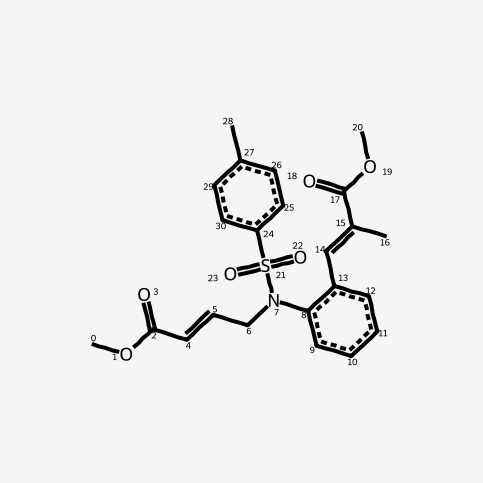 COC(=O)/C=C/CN(c1ccccc1/C=C(\C)C(=O)OC)S(=O)(=O)c1ccc(C)cc1